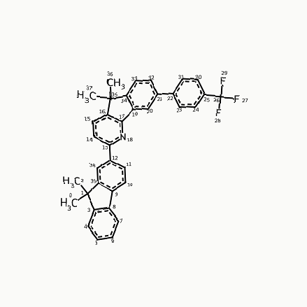 CC1(C)c2ccccc2-c2ccc(-c3ccc4c(n3)-c3cc(-c5ccc(C(F)(F)F)cc5)ccc3C4(C)C)cc21